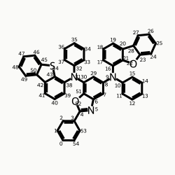 c1ccc(-c2nc3cc(N(c4ccccc4)c4cccc5c4oc4ccccc45)cc(N(c4ccccc4)c4cccc5c4sc4ccccc45)c3o2)cc1